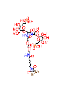 O=C(CCCCCN1C(=O)C(Br)=C(Br)C1=O)NCCOCCOCCC(=O)NC(CO[C@H]1OC(CCP(=O)(O)O)[C@@H](O)C(O)C1CO)C(=O)NC(COC1OC(CCP(=O)(O)O)C(O)C(O)C1O)C(=O)O